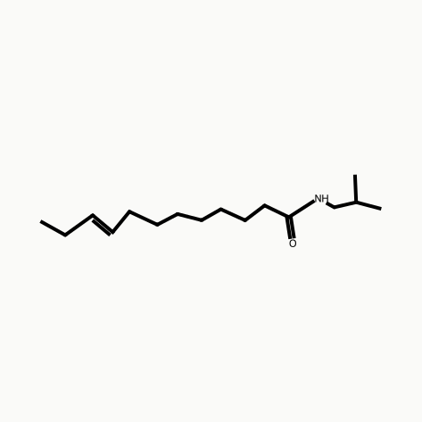 CC/C=C/CCCCCCCC(=O)NCC(C)C